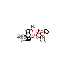 CC(C)C1=CC2CC3(C=O)C4CCC(C)C4CC2(CO[C@@H]2O[C@H](C)[C@H]4OC5(CCCC5)O[C@H]4[C@@H]2O)C13C(=O)O